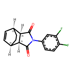 O=C1[C@@H]2[C@H](C(=O)N1c1ccc(F)c(F)c1)[C@@H]1C=C[C@H]2CC1